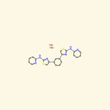 Br.Br.c1ccc(Nc2nc(-c3cccc(-c4csc(Nc5ccccn5)n4)c3)cs2)nc1